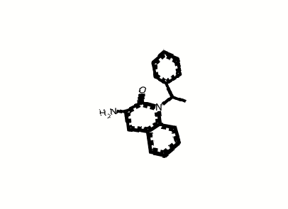 CC(c1ccccc1)n1c(=O)c(N)cc2ccccc21